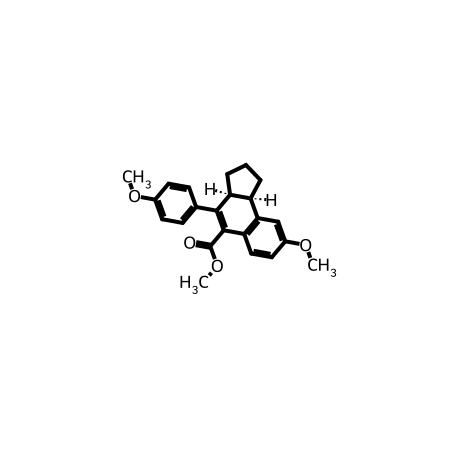 COC(=O)C1=C(c2ccc(OC)cc2)[C@H]2CCC[C@H]2c2cc(OC)ccc21